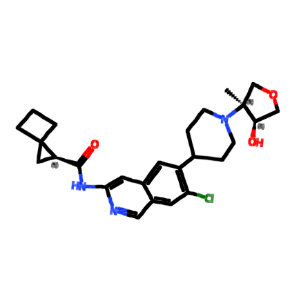 C[C@]1(N2CCC(c3cc4cc(NC(=O)[C@H]5CC56CCC6)ncc4cc3Cl)CC2)COC[C@H]1O